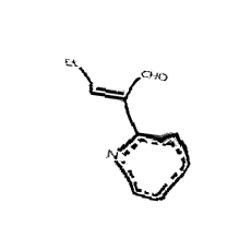 CCC=C(C=O)c1ccccn1